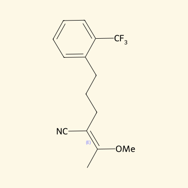 CO/C(C)=C(/C#N)CCCc1ccccc1C(F)(F)F